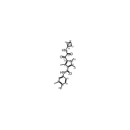 Cc1cc(NC(=O)c2c(C)c(C(=O)C(=O)NC34CC(C3)C4)n(C)c2C)ccc1F